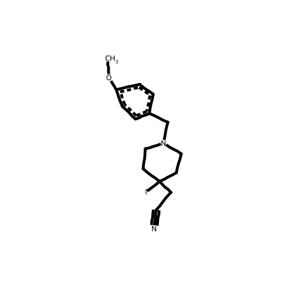 COc1ccc(CN2CCC(I)(CC#N)CC2)cc1